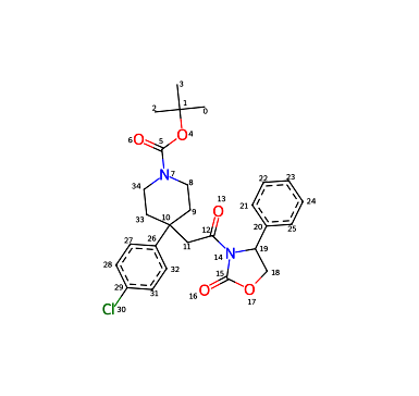 CC(C)(C)OC(=O)N1CCC(CC(=O)N2C(=O)OCC2c2ccccc2)(c2ccc(Cl)cc2)CC1